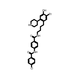 CCc1cc(CCCCNC(=O)c2ccc(NC(=O)c3ccc(Cl)cc3)cc2)c(C2CCNCC2)cc1O